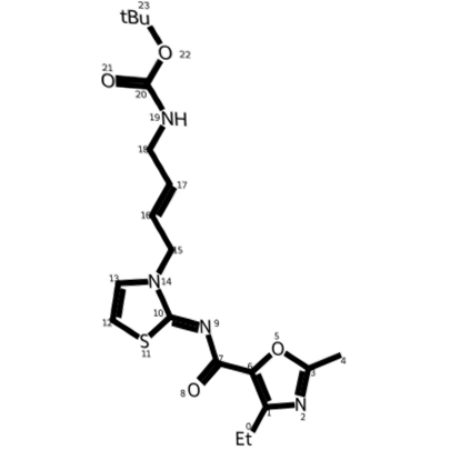 CCc1nc(C)oc1C(=O)/N=c1\sccn1C/C=C/CNC(=O)OC(C)(C)C